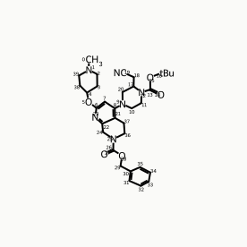 CN1CCC(Oc2cc(N3CCN(C(=O)OC(C)(C)C)C(CC#N)C3)c3c(n2)CN(C(=O)OCc2ccccc2)CC3)CC1